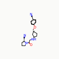 N#Cc1ccc(OC[C@@H]2CC[C@H](NCC(=O)N3CCC[C@H]3C#N)C2)cc1